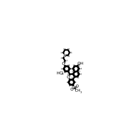 CS(=O)(=O)c1ccc2c(c1)-c1ccc3cc(O)ccc3c1C(c1ccc(OCCN3CCCCC3)cc1)O2.Cl